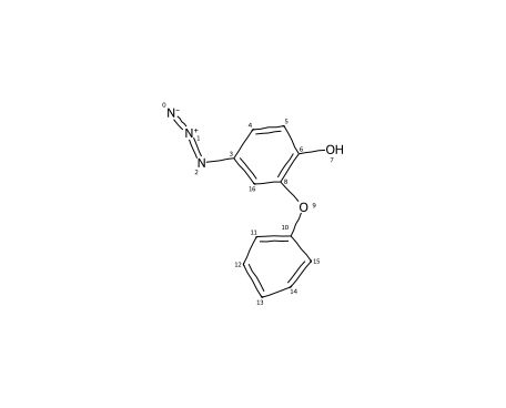 [N-]=[N+]=Nc1ccc(O)c(Oc2ccccc2)c1